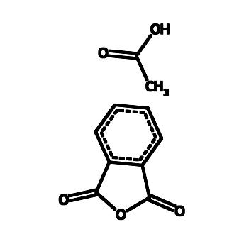 CC(=O)O.O=C1OC(=O)c2ccccc21